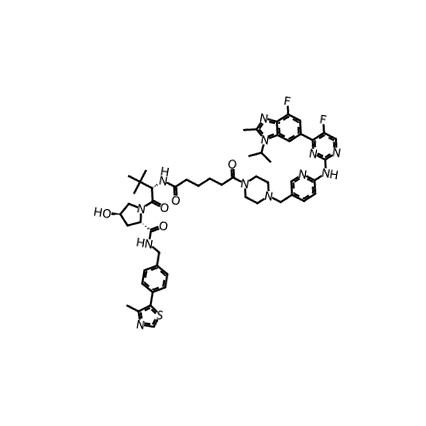 Cc1ncsc1-c1ccc(CNC(=O)[C@@H]2C[C@@H](O)CN2C(=O)[C@@H](NC(=O)CCCCC(=O)N2CCN(Cc3ccc(Nc4ncc(F)c(-c5cc(F)c6nc(C)n(C(C)C)c6c5)n4)nc3)CC2)C(C)(C)C)cc1